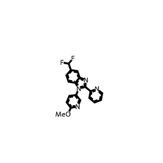 COc1ccc(-n2c(-c3ccccn3)nc3cc(C(F)F)ccc32)cn1